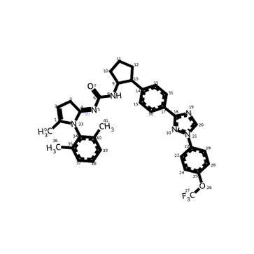 CC1=CC/C(=N\C(=O)NC2CCCC2c2ccc(-c3ncn(-c4ccc(OC(F)(F)F)cc4)n3)cc2)N1c1c(C)cccc1C